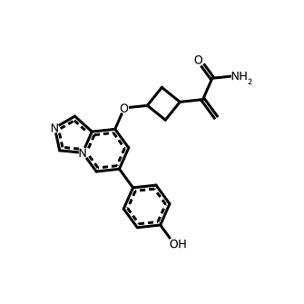 C=C(C(N)=O)C1CC(Oc2cc(-c3ccc(O)cc3)cn3cncc23)C1